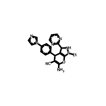 CCN1NC(c2ncccn2)C2=C1OC(N)=C(C#N)C2c1ccc(-n2ccnc2)cc1